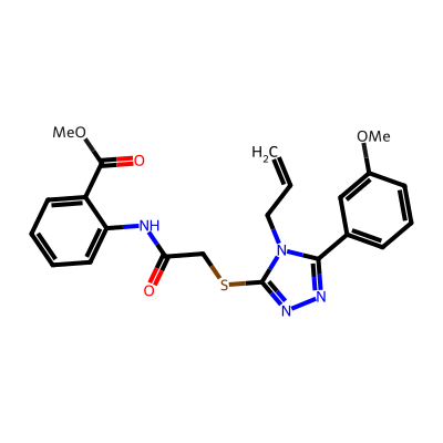 C=CCn1c(SCC(=O)Nc2ccccc2C(=O)OC)nnc1-c1cccc(OC)c1